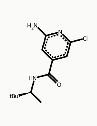 C[C@H](NC(=O)c1cc(N)nc(Cl)c1)C(C)(C)C